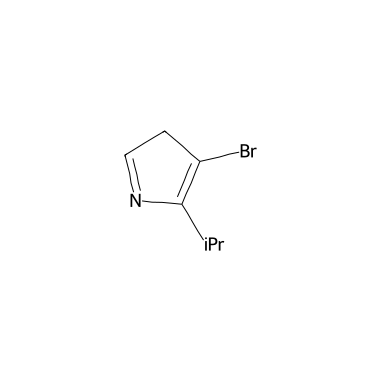 CC(C)C1=C(Br)CC=N1